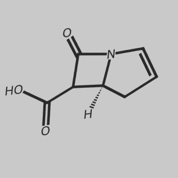 O=C(O)C1C(=O)N2C=CC[C@@H]12